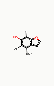 COc1c(C(C)=O)c(O)c(C)c2occc12